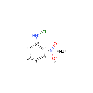 ClNc1ccccc1.O=N[O-].[Na+]